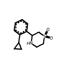 O=S1(=O)CCNC(c2ccccc2C2CC2)C1